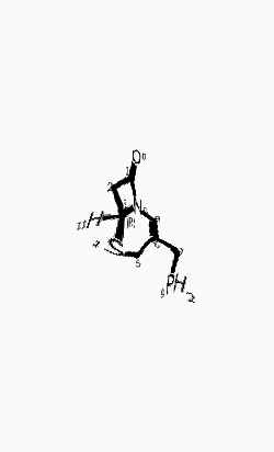 O=C1C[C@H]2SCC(CP)=CN12